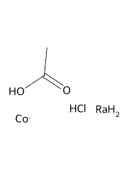 CC(=O)O.Cl.[Co].[RaH2]